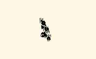 CN1CCC(NC(=O)CC2(CNc3ncnc(N(Cc4ccc(C(F)(F)F)cc4)C4CC4)c3F)CCOCC2)C1